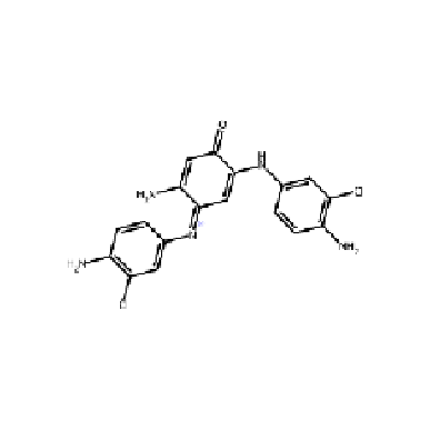 NC1=CC(=O)C(Nc2ccc(N)c(Cl)c2)=C/C1=N/c1ccc(N)c(Cl)c1